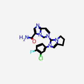 NC(=O)c1cnc2n1CN(C1N3CCCC3=CN1c1ccc(F)c(Cl)c1)C=C2